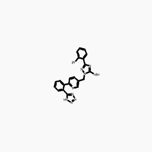 CCCCc1nc(-c2ccccc2C(C)C)nn1Cc1ccc(-c2ccccc2-c2nnn[nH]2)nc1